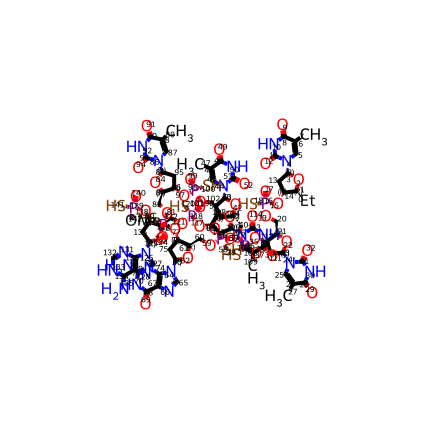 CC[C@H]1O[C@@H](n2cc(C)c(=O)[nH]c2=O)C[C@H]1OP(=O)(S)OC[C@H]1O[C@@H](n2cc(C)c(=O)[nH]c2=O)C[C@H]1OP(=O)(S)OC[C@H]1O[C@@H](n2cc(C)c(=O)[nH]c2=O)C[C@H]1OP(=O)(S)OC[C@H]1O[C@@H](n2cnc3c(=O)[nH]c(N)nc32)C[C@H]1OP(=O)(S)OC[C@H]1O[C@@H](n2cc(C)c(=O)[nH]c2=O)C[C@H]1OP(=O)(S)OC[C@H]1O[C@@H](n2cc(C)c(=O)[nH]c2=O)C[C@H]1OP(=O)(S)OC[C@H]1O[C@@H](n2cnc3c2N=CNC3N)C[C@H]1OP(=O)(S)OC